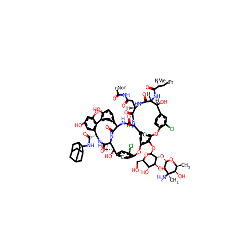 CCCCCCCCCC(=O)NC(=O)C[C@@H]1NC(=O)[C@H](NC(=O)[C@@H](CC(C)C)NC)[C@H](O)c2ccc(c(Cl)c2)Oc2cc3cc(c2O[C@@H]2O[C@H](CO)[C@@H](O)[C@H](O)[C@H]2O[C@H]2C[C@](C)(N)[C@H](O)[C@H](C)O2)Oc2ccc(cc2Cl)[C@@H](O)[C@@H]2NC(=O)[C@H](NC(=O)[C@@H]3NC1=O)c1ccc(O)c(c1)-c1c(O)cc(O)cc1[C@@H](C(=O)NC1C3CC4CC(C3)CC1C4)NC2=O